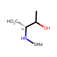 CSN[C@H](C(=O)O)C(C)O